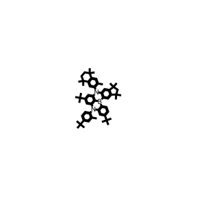 Cc1cc(C(C)(C)C)ccc1N1c2cc(C(C)(C)C)ccc2B2c3cc4c(cc3N(c3cc5c(cc3C)C(C)(C)CCC5(C)C)c3cc(C(C)(C)C)cc1c32)C(C)(C)CC4(C)C